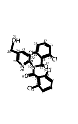 O=C(c1c(Cl)cccc1Cl)N(C(=O)c1c(Cl)cccc1Cl)c1ccc(CO)cn1